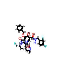 CC1=NO[C@@]2(CC[C@H](CF)N3C[C@H]2n2cc(C(=O)NCc4ccc(F)cc4F)c(=O)c(OCc4ccccc4)c2C3=O)C1